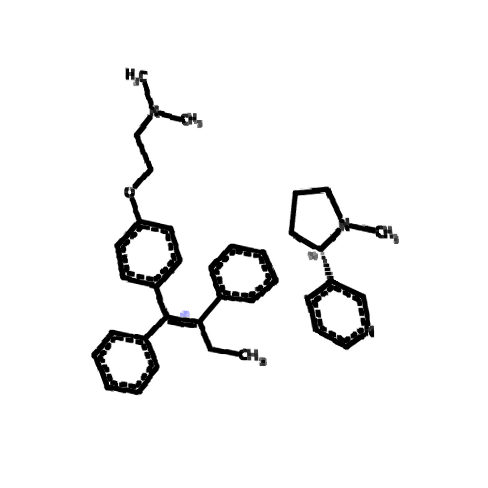 CC/C(=C(\c1ccccc1)c1ccc(OCCN(C)C)cc1)c1ccccc1.CN1CCC[C@H]1c1cccnc1